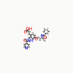 Cc1oc(-c2ccccc2)nc1CCOc1ccc(CCC(=O)O)c(CNC(=O)c2ccncc2)c1